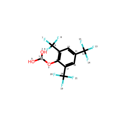 OB(O)Oc1c(C(F)(F)F)cc(C(F)(F)F)cc1C(F)(F)F